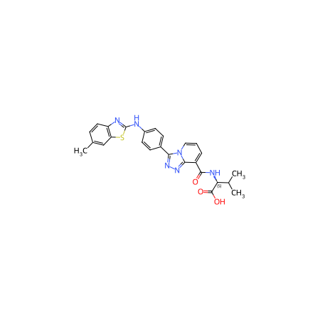 Cc1ccc2nc(Nc3ccc(-c4nnc5c(C(=O)N[C@H](C(=O)O)C(C)C)cccn45)cc3)sc2c1